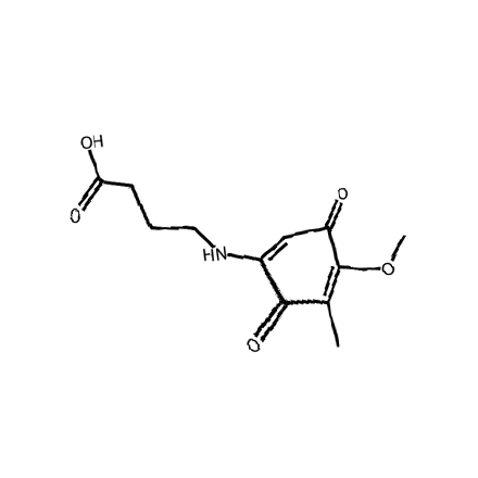 COC1=C(C)C(=O)C(NCCCC(=O)O)=CC1=O